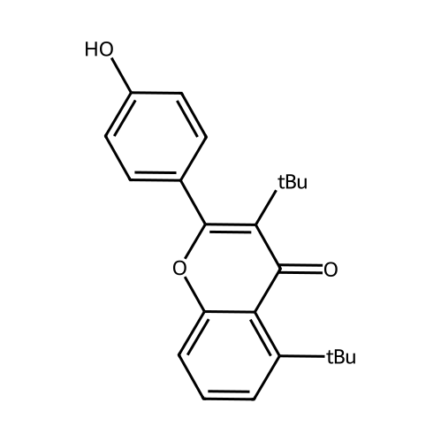 CC(C)(C)c1c(-c2ccc(O)cc2)oc2cccc(C(C)(C)C)c2c1=O